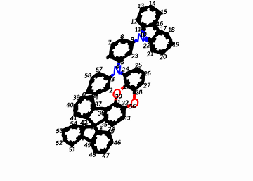 c1ccc(N(c2cccc(-n3c4ccccc4c4ccccc43)c2)c2cccc3c2Oc2c(ccc4c2-c2ccccc2C42c4ccccc4-c4ccccc42)O3)cc1